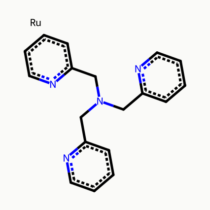 [Ru].c1ccc(CN(Cc2ccccn2)Cc2ccccn2)nc1